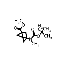 COC(=O)C12CC3(N(C)C(=O)OC(C)(C)C)CC13C2